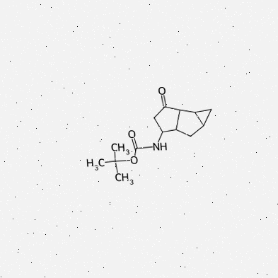 CC(C)(C)OC(=O)NC1CC(=O)C2C3CC3CC12